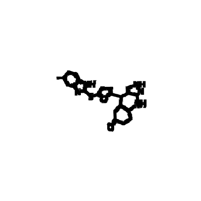 Cc1ccc2[nH]c(Sc3ccc(C4c5c[nH]nc5NC5CCC(=O)CC54)o3)nc2c1